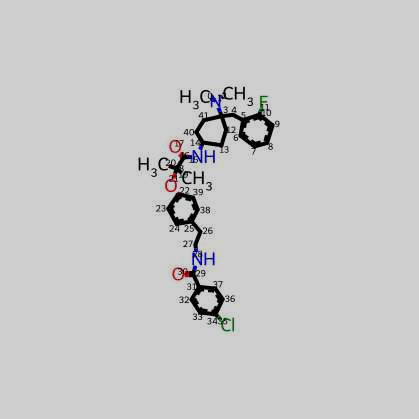 CN(C)C1(Cc2ccccc2F)CCC(NC(=O)C(C)(C)Oc2ccc(CCNC(=O)c3ccc(Cl)cc3)cc2)CC1